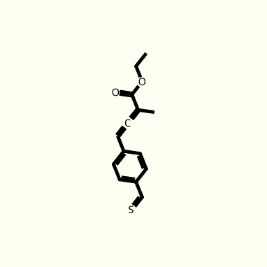 CCOC(=O)C(C)=C=Cc1ccc(C=S)cc1